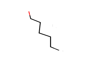 C.CC(C)CCCCCO